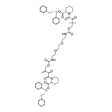 C=C(COC(=O)NCCOCCOCCNC(=O)OCC(C)(C)C(=O)C(=O)N1CCCCC1C(=O)O[C@@H](CCc1ccccc1)c1ccccc1)C(=O)C(=O)N1CCCCC1C(=O)O[C@H](CCc1ccccc1)c1ccccc1